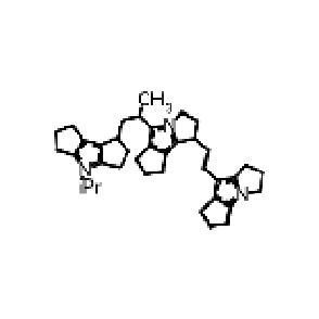 CC(CC1CCc2c1c1c(n2C(C)C)CCC1)c1c2c(c3n1CCC3CCc1c3c(n4c1CCC4)CCC3)CCC2